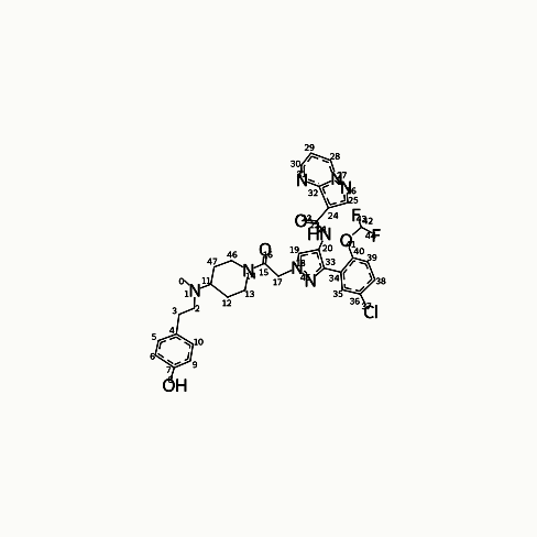 CN(CCc1ccc(O)cc1)C1CCN(C(=O)Cn2cc(NC(=O)c3cnn4cccnc34)c(-c3cc(Cl)ccc3OC(F)F)n2)CC1